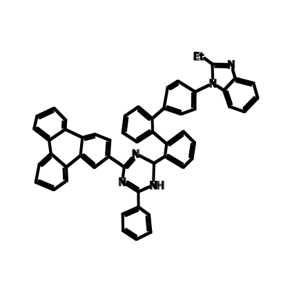 CCc1nc2ccccc2n1-c1ccc(-c2ccccc2-c2ccccc2C2N=C(c3ccc4c5ccccc5c5ccccc5c4c3)N=C(c3ccccc3)N2)cc1